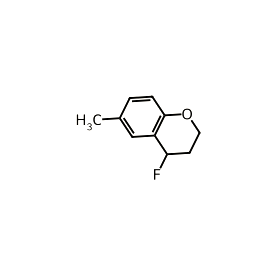 Cc1ccc2c(c1)C(F)CCO2